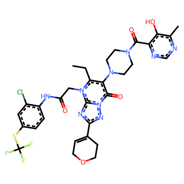 CCc1c(N2CCN(C(=O)c3ncnc(C)c3O)CC2)c(=O)n2nc(C3=CCOCC3)nc2n1CC(=O)Nc1ccc(SC(F)(F)F)cc1Cl